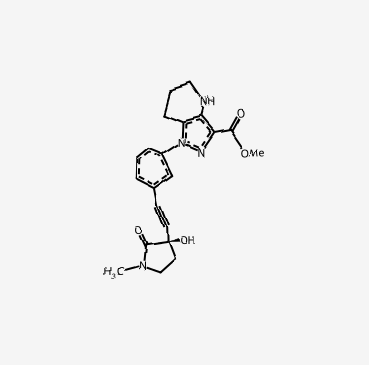 COC(=O)c1nn(-c2cccc(C#C[C@]3(O)CCN(C)C3=O)c2)c2c1NCCC2